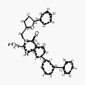 Nc1nc2cc(-c3cccc(-c4ccccc4)c3)ccc2c(=O)n1CC1CCC(c2ccccc2)O1